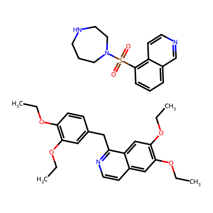 CCOc1ccc(Cc2nccc3cc(OCC)c(OCC)cc23)cc1OCC.O=S(=O)(c1cccc2cnccc12)N1CCCNCC1